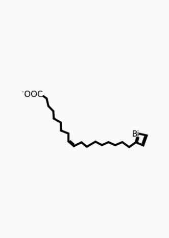 O=C([O-])CCCCCCC/C=C\CCCCCCCC[C]1=[Bi][CH]=C1